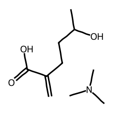 C=C(CCC(C)O)C(=O)O.CN(C)C